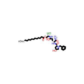 CCCCCCCCCCCCCCCCCCCCCC(=O)OC(=O)[C@H](C)NC(=O)CC[C@@H](NC(=O)[C@@H]1CC(O)CN1Cc1ccccc1)C(N)=O.Cl